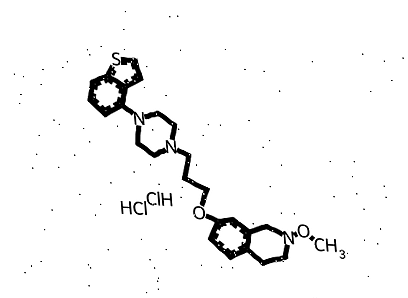 CON1CCc2ccc(OCCCN3CCN(c4cccc5sccc45)CC3)cc2C1.Cl.Cl